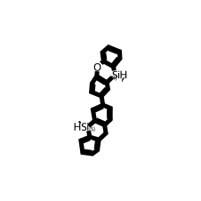 C[Si@H]1c2ccccc2Cc2ccc(-c3ccc4c(c3)[Si@H](C)c3ccccc3O4)cc21